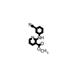 COC(=O)c1cccnc1Nc1cccc(C#N)c1